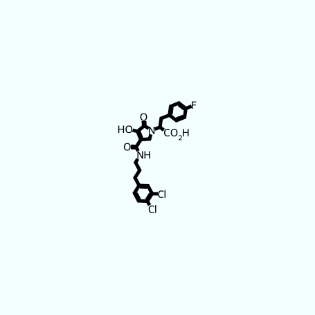 O=C(NCCCc1ccc(Cl)c(Cl)c1)C1=C(O)C(=O)N(C(Cc2ccc(F)cc2)C(=O)O)C1